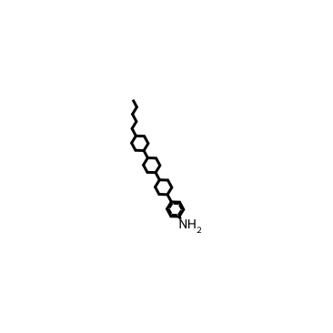 CCCCCC1CCC(C2CCC(C3CCC(c4ccc(N)cc4)CC3)CC2)CC1